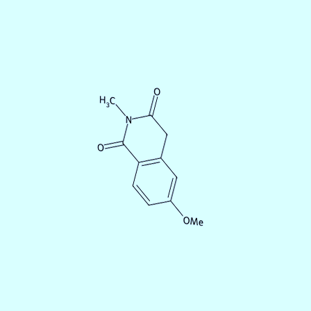 COc1ccc2c(c1)CC(=O)N(C)C2=O